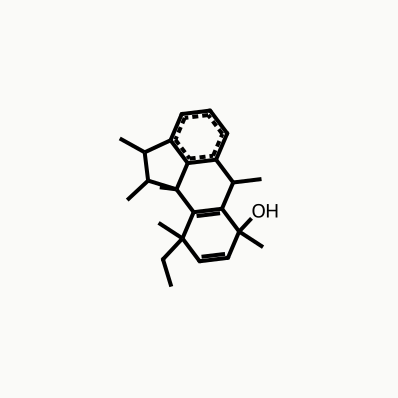 CCC1(C)C=CC(C)(O)C2=C1C1(C)c3c(cccc3C(C)C1C)C2C